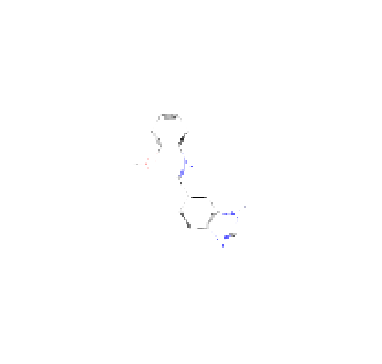 COc1ccccc1N=Cc1ccc2ncn(C)c2c1